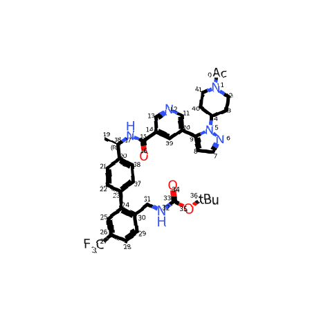 CC(=O)N1CCC(n2nccc2-c2cncc(C(=O)N[C@H](C)c3ccc(-c4cc(C(F)(F)F)ccc4CNC(=O)OC(C)(C)C)cc3)c2)CC1